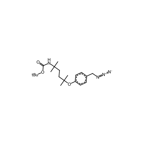 CC(C)(CCC(C)(C)Oc1ccc(CN=[N+]=[N-])cc1)NC(=O)OC(C)(C)C